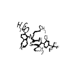 CCCN(c1nc(-c2ccc(C(F)(F)F)cc2Cl)c(C)s1)c1c(OC)ccc2cnccc12